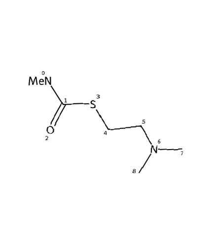 CNC(=O)SCCN(C)C